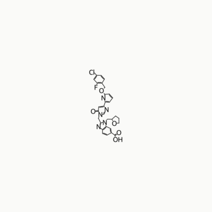 O=C(O)c1ccc2nc(Cn3cnc(-c4cccc(OCc5ccc(Cl)cc5F)n4)cc3=O)n(CC3CCCO3)c2c1